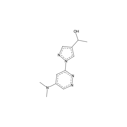 CC(O)c1cnn(-c2cc(N(C)C)cnn2)c1